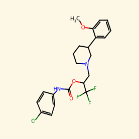 COc1ccccc1C1CCCN(CC(OC(=O)Nc2ccc(Cl)cc2)C(F)(F)F)C1